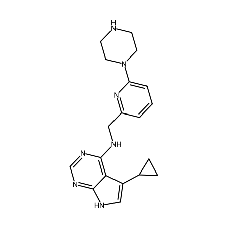 c1cc(CNc2ncnc3[nH]cc(C4CC4)c23)nc(N2CCNCC2)c1